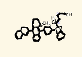 C#C/C=C\C=C(/C)c1nc2ccccc2n1-c1ccc(-c2c3c(c(C4=Cc5ccccc5CC4)c4ccccc24)C=CC[C@H]3C)cc1